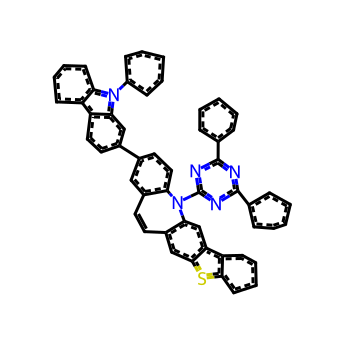 C1=Cc2cc3sc4ccccc4c3cc2N(c2nc(-c3ccccc3)nc(-c3ccccc3)n2)c2ccc(-c3ccc4c5ccccc5n(-c5ccccc5)c4c3)cc21